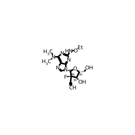 C#C[C@@]1(F)[C@H](O)[C@@H](CO)O[C@H]1n1cnc2c(N(C)C)nc(NOCC)nc21